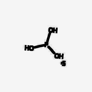 OP(O)O.[S]